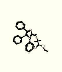 CCOC(=O)C(C)(C)Sc1nc(-c2ccccc2)c(-c2ccccc2)n1-c1ccccc1